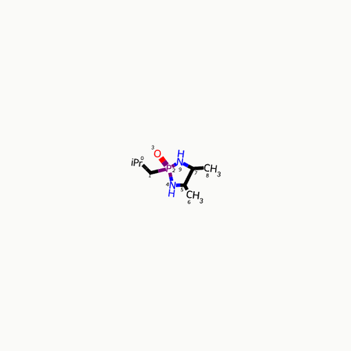 CC(C)CP1(=O)NC(C)C(C)N1